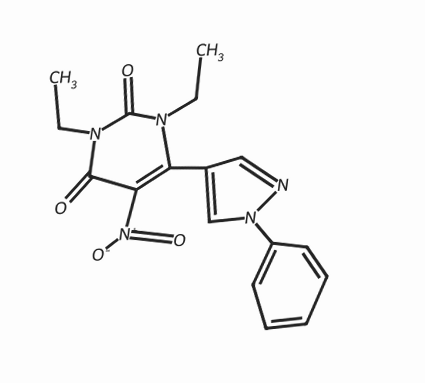 CCn1c(-c2cnn(-c3ccccc3)c2)c([N+](=O)[O-])c(=O)n(CC)c1=O